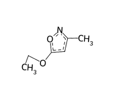 CCOc1cc(C)no1